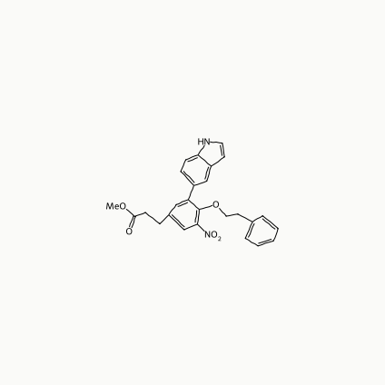 COC(=O)CCc1cc(-c2ccc3[nH]ccc3c2)c(OCCc2ccccc2)c([N+](=O)[O-])c1